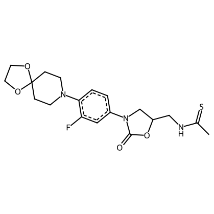 CC(=S)NCC1CN(c2ccc(N3CCC4(CC3)OCCO4)c(F)c2)C(=O)O1